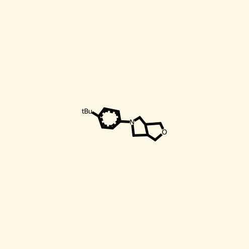 CC(C)(C)c1ccc(N2CC3COCC3C2)cc1